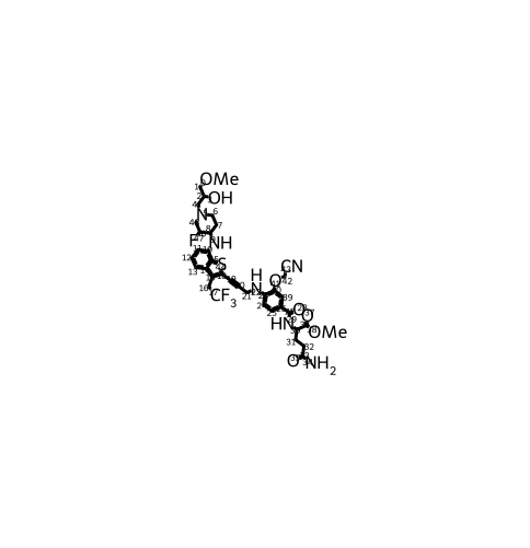 COCC(O)CN1CCC(Nc2cccc3c(CC(F)(F)F)c(C#CCNc4ccc(C(=O)NC(CCC(N)=O)C(=O)OC)cc4OCC#N)sc23)C(F)C1